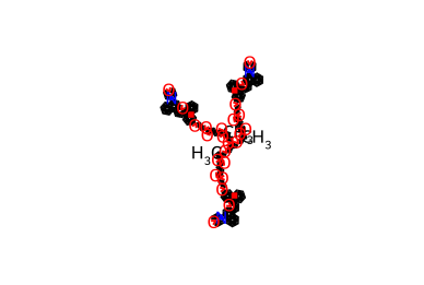 CC(COCC(COCC(C)OC(=O)CCC(=O)OCCOc1ccc(C2(c3ccccc3)C=Cc3c(cc(N4CCOCC4)c4ccccc34)O2)cc1)OCC(C)OC(=O)CCC(=O)OCCOc1ccc(C2(c3ccccc3)C=Cc3c(cc(N4CCOCC4)c4ccccc34)O2)cc1)OC(=O)CCC(=O)OCCOc1ccc(C2(c3ccccc3)C=Cc3c(cc(N4CCOCC4)c4ccccc34)O2)cc1